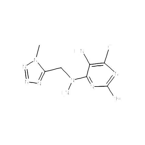 Cn1nnnc1CN(N)c1nc(C(C)(C)C)nc(Cl)c1N